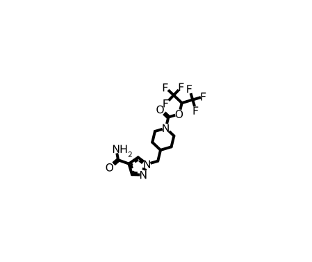 NC(=O)c1cnn(CC2CCN(C(=O)OC(C(F)(F)F)C(F)(F)F)CC2)c1